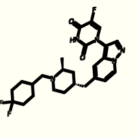 C[C@H]1C[C@H](Cc2ccn3ncc(-n4cc(F)c(=O)[nH]c4=O)c3c2)CCN1CC1CCC(F)(F)CC1